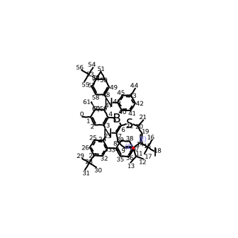 CC1=CC2=C3B(C4=C(C/C=C(C(C)C)\C(C(C)(C)I)=C/C(C)S4)N2c2ccc(C(C)(C)C)cc2C2=CC=CCC2)c2ccc(C)cc2N(C2=CC4C[C@]4(C(C)(C)C)C=C2)C3[C@@H]1C